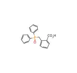 O=C(O)c1ccccc1CP(=O)(c1ccccc1)c1ccccc1